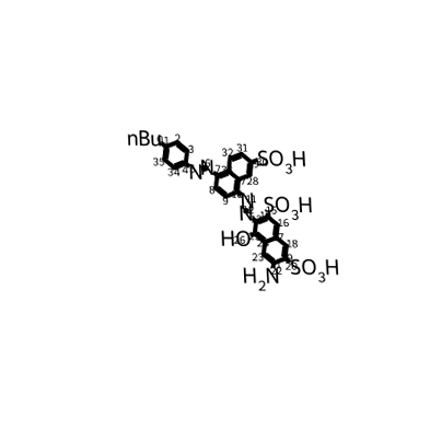 CCCCc1ccc(N=Nc2ccc(N=Nc3c(S(=O)(=O)O)cc4cc(S(=O)(=O)O)c(N)cc4c3O)c3cc(S(=O)(=O)O)ccc23)cc1